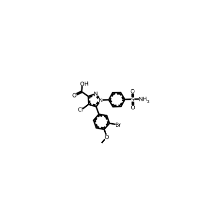 COc1ccc(-c2c(Cl)c(C(=O)O)nn2-c2ccc(S(N)(=O)=O)cc2)cc1Br